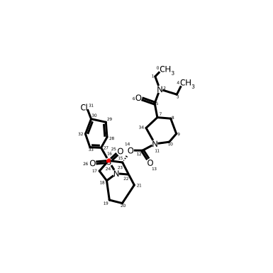 CCN(CC)C(=O)C1CCCN(C(=O)O[C@H]2CCC3CCCC2N3S(=O)(=O)c2ccc(Cl)cc2)C1